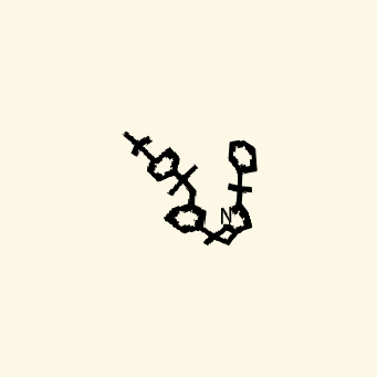 CC(C)(C)c1ccc(C(C)(C)Cc2cccc(C3(C)Cc4ccc(C(C)(C)c5ccccc5)nc43)c2)cc1